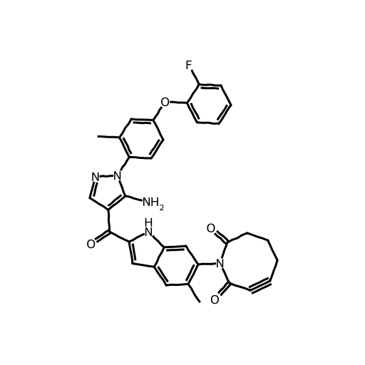 Cc1cc2cc(C(=O)c3cnn(-c4ccc(Oc5ccccc5F)cc4C)c3N)[nH]c2cc1N1C(=O)C#CCCCC1=O